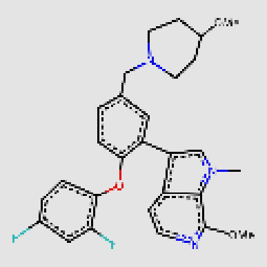 COc1nccc2c(-c3cc(CN4CCC(OC)CC4)ccc3Oc3ccc(F)cc3F)cn(C)c12